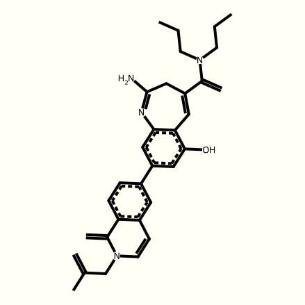 C=C(C)CN1C=Cc2cc(-c3cc(O)c4c(c3)N=C(N)CC(C(=C)N(CCC)CCC)=C4)ccc2C1=C